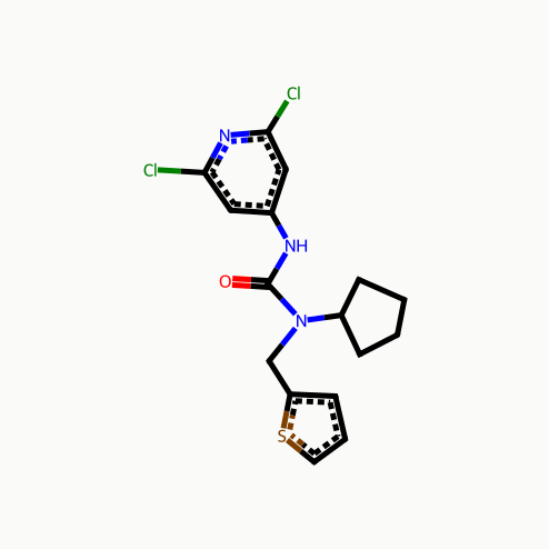 O=C(Nc1cc(Cl)nc(Cl)c1)N(Cc1cccs1)C1CCCC1